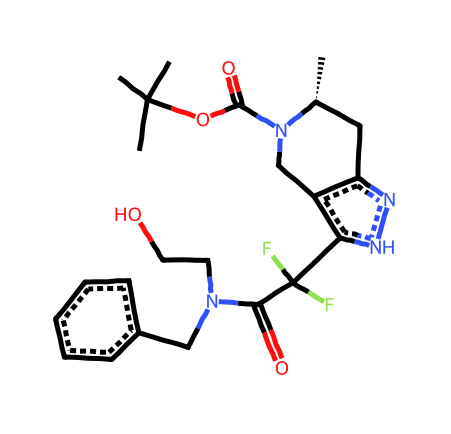 C[C@@H]1Cc2n[nH]c(C(F)(F)C(=O)N(CCO)Cc3ccccc3)c2CN1C(=O)OC(C)(C)C